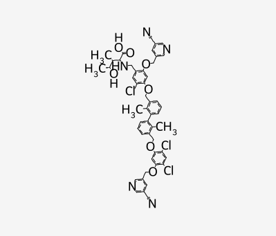 Cc1c(COc2cc(OCc3cncc(C#N)c3)c(Cl)cc2Cl)cccc1-c1cccc(COc2cc(OCc3cncc(C#N)c3)c(CN[C@H](C(=O)O)[C@@H](C)[C@H](C)O)cc2Cl)c1C